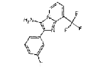 Nc1c(-c2cccc(F)c2)nc2c(C(F)(F)F)cccn12